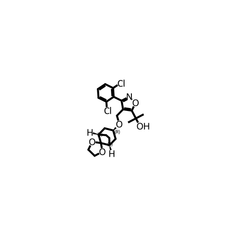 CC(C)(O)c1onc(-c2c(Cl)cccc2Cl)c1CO[C@H]1C[C@H]2CC[C@@H](C1)C21OCCO1